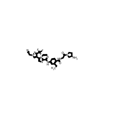 CCc1cc(Nc2nccn3c(-c4cn(CC#N)nc4C(F)(F)F)cnc23)ccc1C(=O)NCC(=O)N1CC[C@H](N)C1